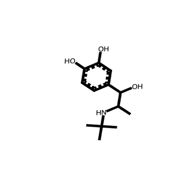 CC(NC(C)(C)C)C(O)c1ccc(O)c(O)c1